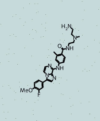 COc1ccc(-c2cnc3c(Nc4ccc(C(=O)NCCN(C)CCN)c(C)c4)nccn23)cc1F